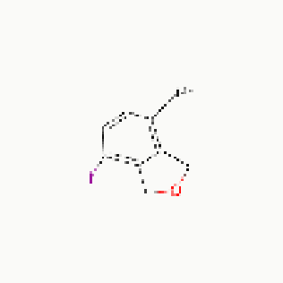 CC(C)c1ccc(I)c2c1COC2